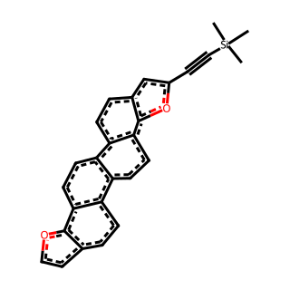 C[Si](C)(C)C#Cc1cc2ccc3c4ccc5c(ccc6ccoc65)c4ccc3c2o1